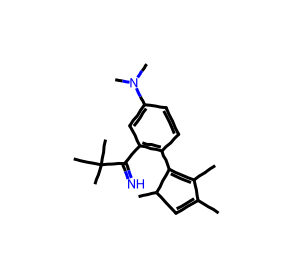 CC1=CC(C)C(c2ccc(N(C)C)cc2C(=N)C(C)(C)C)=C1C